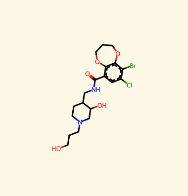 O=C(NCC1CCN(CCCO)CC1O)c1cc(Cl)c(Br)c2c1OCCCO2